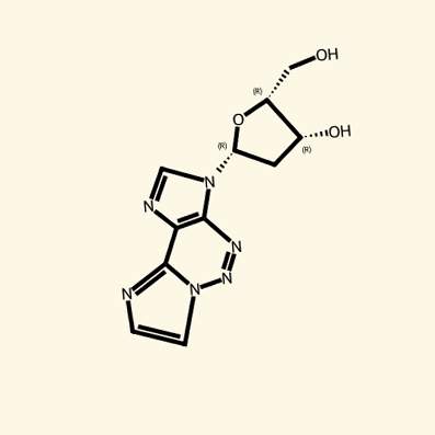 OC[C@H]1O[C@@H](n2cnc3c2nnn2ccnc32)C[C@H]1O